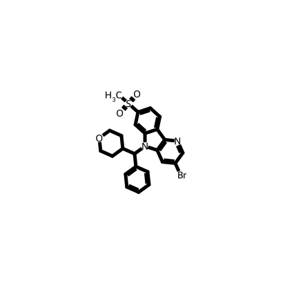 CS(=O)(=O)c1ccc2c3ncc(Br)cc3n(C(c3ccccc3)C3CCOCC3)c2c1